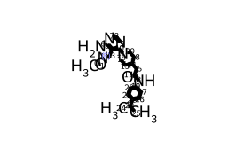 CO/N=C/c1c(N)ncnc1N1CCC(CC(=O)Nc2ccc(C(C)C)cc2)CC1